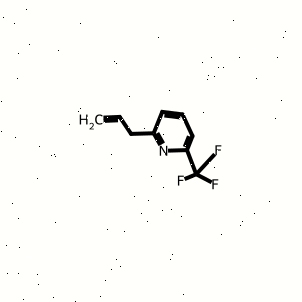 C=CCc1cccc(C(F)(F)F)n1